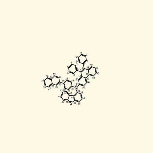 c1ccc(-c2c(-c3ccccc3)c3cc(N(c4ccc(-c5ccc6ccccc6c5)cc4)c4cccc5sc6ccccc6c45)ccc3c3ccccc23)cc1